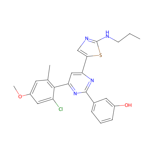 CCCNc1ncc(-c2cc(-c3c(C)cc(OC)cc3Cl)nc(-c3cccc(O)c3)n2)s1